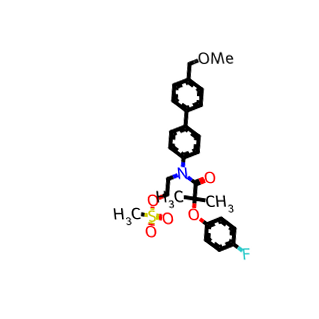 COCc1ccc(-c2ccc(N(CCOS(C)(=O)=O)C(=O)C(C)(C)Oc3ccc(F)cc3)cc2)cc1